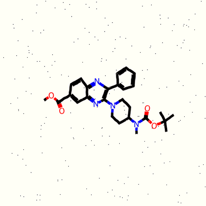 COC(=O)c1ccc2nc(-c3ccccc3)c(N3CCC(N(C)C(=O)OC(C)(C)C)CC3)nc2c1